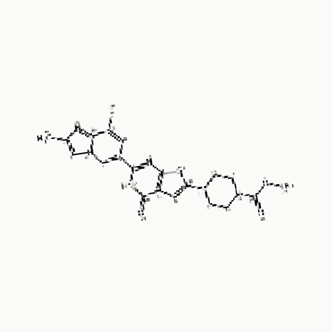 Cc1cn2cc(-c3nc4sc(C5CCN(C(=O)OC(C)(C)C)CC5)cc4c(=O)[nH]3)cc(F)c2n1